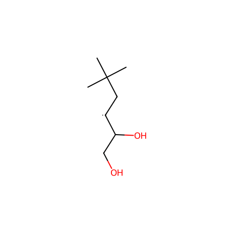 CC(C)(C)C[CH]C(O)CO